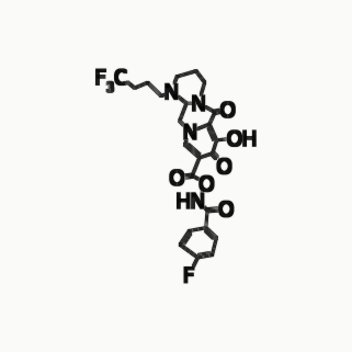 O=C(NOC(=O)c1cn2c(c(O)c1=O)C(=O)N1CCCN(CCCC(F)(F)F)C1C2)c1ccc(F)cc1